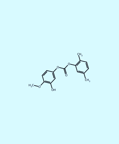 COc1ccc(OC(=O)Oc2cc(C)ccc2C)cc1O